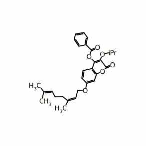 CC(C)=CCCC(C)=CCOc1ccc2c(OC(=O)c3ccccc3)c(OC(C)C)c(=O)oc2c1